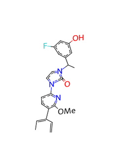 C=C/C(=C\C)c1ccc(-n2ccn(C(C)c3cc(O)cc(F)c3)c2=O)nc1OC